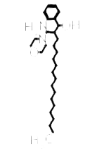 CCCCCCCCCCCCCCCCC(C(O)c1ccccc1)C(N)N1CCOCC1